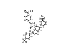 O=C(O)c1ccc(CNC(=O)c2cc(-c3cccc(C(F)(F)F)c3)cc3ccn(Cc4ccc(C(F)(F)F)cc4)c23)cc1